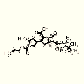 C=CCOC(=O)N1CC(C2=C(C(=O)O)N3C(=O)[C@H]([C@@H](C)O[Si](C)(C)C(C)(C)C)[C@H]3C2)C[C@H]1C